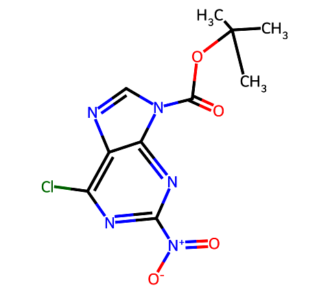 CC(C)(C)OC(=O)n1cnc2c(Cl)nc([N+](=O)[O-])nc21